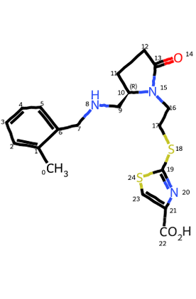 Cc1ccccc1CNC[C@H]1CCC(=O)N1CCSc1nc(C(=O)O)cs1